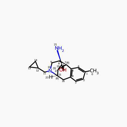 Cc1ccc2c(c1)[C@]13CCN(CC4CC4)[C@H](C2)[C@]1(O)C[C@H](N)C3